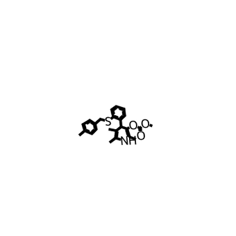 COC(=O)OC1=C(C)NC(C)=C(C)C1c1ccccc1SCc1ccc(C)cc1